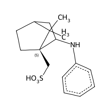 CC1(C)C2CC[C@@]1(CS(=O)(=O)O)C(Nc1ccccc1)C2